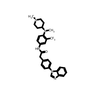 CN1CCC(N(C)c2ccc(NC(=O)Cc3ccc(-n4cnc5ccccc54)cc3)cc2C(F)(F)F)CC1